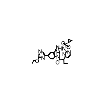 CCOc1cncc(-c2ccc(NC(=O)C(CC)c3ccnc(NS(=O)(=O)C4CC4)n3)c(C#N)c2)n1